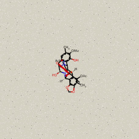 COc1c(C)cc2c(c1O)C1NC(C2)[C@H](O)N2C1[C@@H]1SCC(NC(C)=O)C(=O)OC[C@H]2c2c3c(c(C)c(OC(C)=O)c21)OCO3